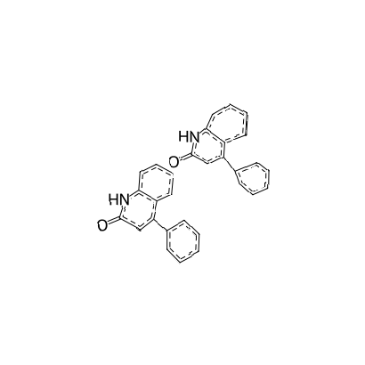 O=c1cc(-c2ccccc2)c2ccccc2[nH]1.O=c1cc(-c2ccccc2)c2ccccc2[nH]1